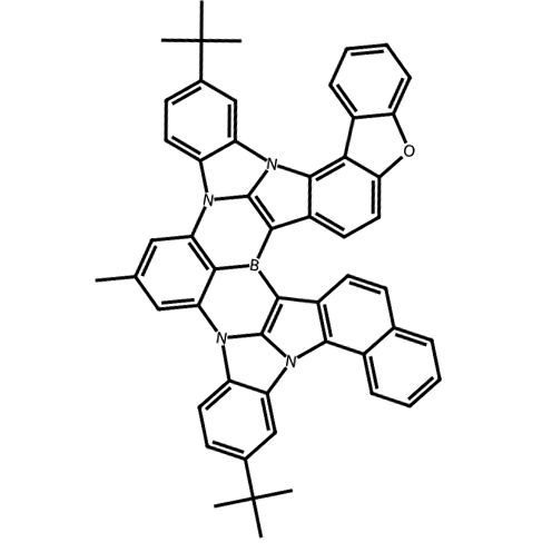 Cc1cc2c3c(c1)-n1c4ccc(C(C)(C)C)cc4n4c5c(ccc6oc7ccccc7c65)c(c14)B3c1c3ccc4ccccc4c3n3c4cc(C(C)(C)C)ccc4n-2c13